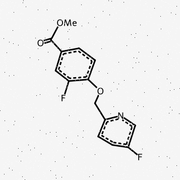 COC(=O)c1ccc(OCc2ccc(F)cn2)c(F)c1